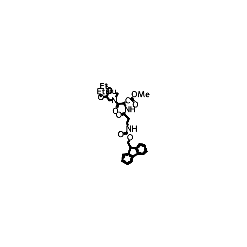 CCOC(CN(CC(C)CC)C(=O)C(CC(=O)OC)NC(=O)CCNC(=O)OCC1c2ccccc2-c2ccccc21)OCC